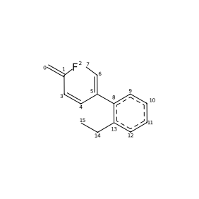 C=C(F)/C=C\C(=C/C)c1ccccc1CC